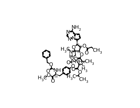 CCC(=O)O[C@H]1[C@H](c2ccc3c(N)ncnn23)O[C@@](COP(=O)(N[C@@H](C)C(=O)OC(C)C)Oc2ccc(C[C@H](NC(=O)OCc3ccccc3)C(=O)OC)cc2)(NC)[C@H]1OC(=O)CC